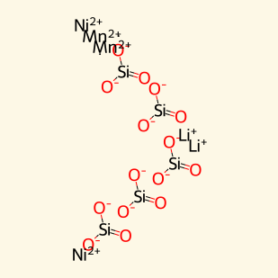 O=[Si]([O-])[O-].O=[Si]([O-])[O-].O=[Si]([O-])[O-].O=[Si]([O-])[O-].O=[Si]([O-])[O-].[Li+].[Li+].[Mn+2].[Mn+2].[Ni+2].[Ni+2]